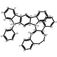 c1ccc(C2=N/CCc3ccccc3/N=C\2n2c3ccccc3c3cc4c5ccccc5n(-c5ccccc5)c4cc32)cc1